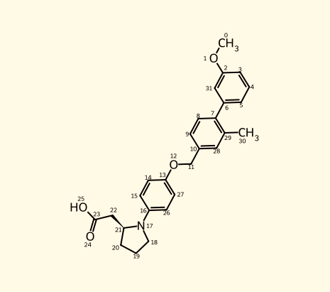 COc1cccc(-c2ccc(COc3ccc(N4CCC[C@H]4CC(=O)O)cc3)cc2C)c1